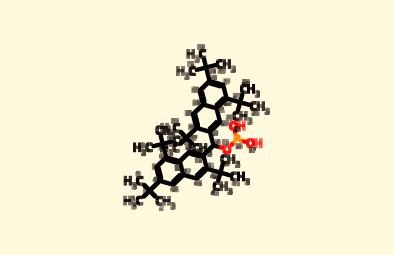 CC(C)(C)c1cc(C(C)(C)C)c2cc(C(OP(O)O)c3cc4c(C(C)(C)C)cc(C(C)(C)C)cc4cc3C(C)(C)C)c(C(C)(C)C)cc2c1